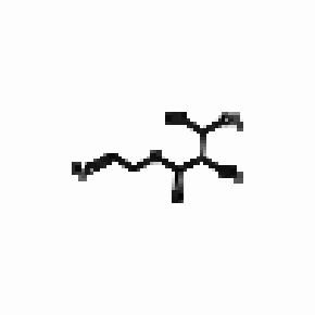 C=CCOC(=O)C(C)C(C)O